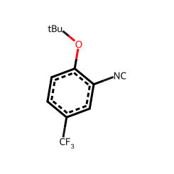 [C-]#[N+]c1cc(C(F)(F)F)ccc1OC(C)(C)C